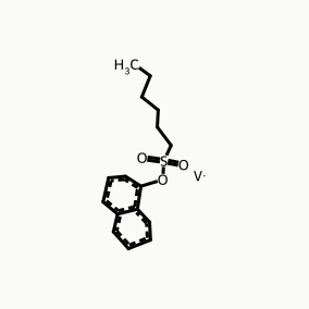 CCCCCCS(=O)(=O)Oc1cccc2ccccc12.[V]